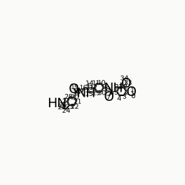 COc1ccc(C(=O)Nc2ccc(C(C)(C)CNC(=O)c3ccc4cc[nH]c4c3)cc2)cc1OC